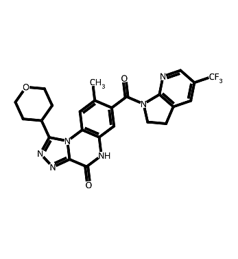 Cc1cc2c(cc1C(=O)N1CCc3cc(C(F)(F)F)cnc31)[nH]c(=O)c1nnc(C3CCOCC3)n12